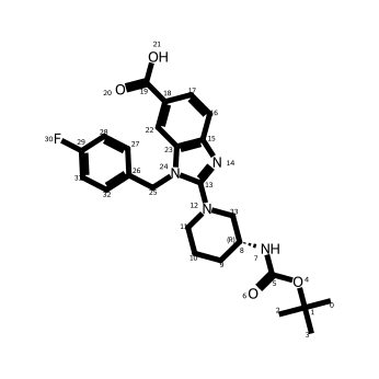 CC(C)(C)OC(=O)N[C@@H]1CCCN(c2nc3ccc(C(=O)O)cc3n2Cc2ccc(F)cc2)C1